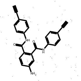 C#Cc1ccc(NC(=O)c2ccc(N)cc2C(=O)Nc2ccc(C#C)cc2)cc1